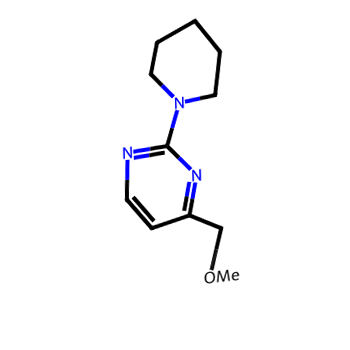 COCc1ccnc(N2CCCCC2)n1